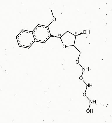 COc1cc2ccccc2cc1[C@H]1C[C@@H](O)C(CONONONO)O1